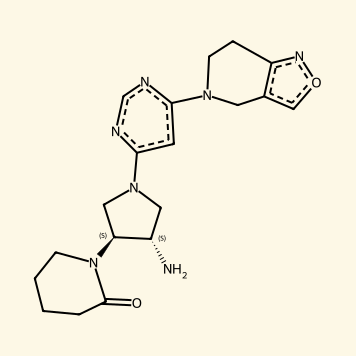 N[C@H]1CN(c2cc(N3CCc4nocc4C3)ncn2)C[C@@H]1N1CCCCC1=O